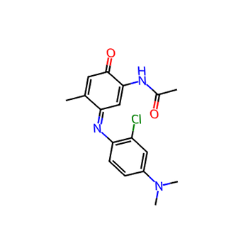 CC(=O)NC1=CC(=Nc2ccc(N(C)C)cc2Cl)C(C)=CC1=O